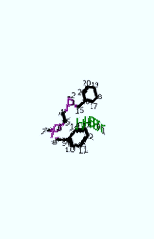 Br.Br.CP(CCP(C)Cc1ccccc1)Cc1ccccc1